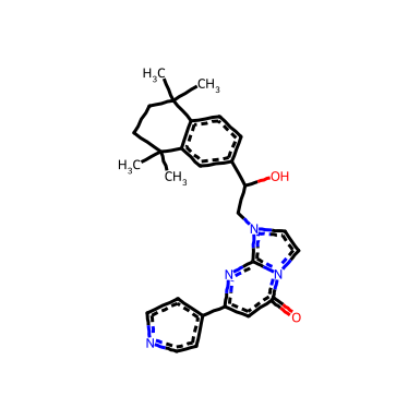 CC1(C)CCC(C)(C)c2cc(C(O)Cn3ccn4c(=O)cc(-c5ccncc5)nc34)ccc21